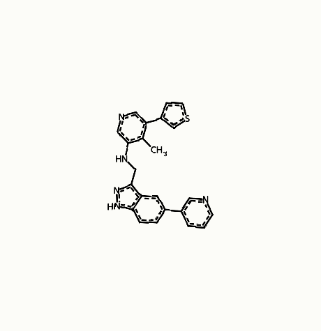 Cc1c(NCc2n[nH]c3ccc(-c4cccnc4)cc23)cncc1-c1ccsc1